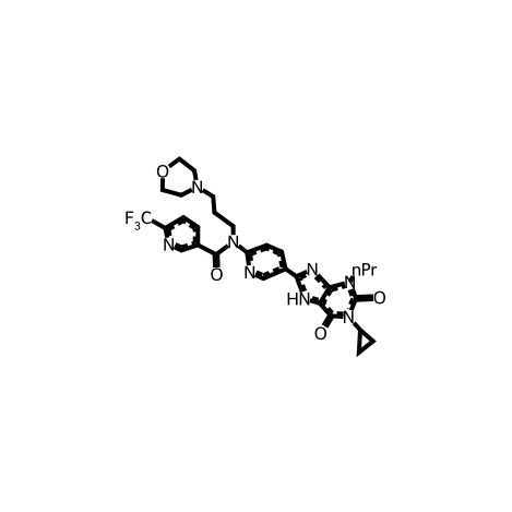 CCCn1c(=O)n(C2CC2)c(=O)c2[nH]c(-c3ccc(N(CCCN4CCOCC4)C(=O)c4ccc(C(F)(F)F)nc4)nc3)nc21